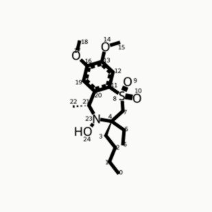 CCCC[C@]1(CC)CS(=O)(=O)c2cc(OC)c(OC)cc2[C@@H](C)N1O